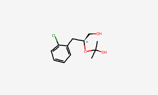 CC(C)(O)O[C@H](CO)Cc1ccccc1Cl